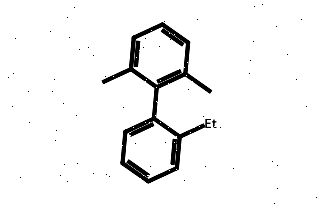 CCc1ccccc1-c1c(C)cccc1C